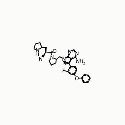 N#CC(=CC1CCCN1)C(=O)N1CCC[C@@H]1Cn1nc(-c2ccc(Oc3ccccc3)cc2F)c2c(N)ncnc21